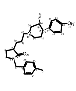 Cc1ccc(CN2CCC(CCCN3CC[C@@H](c4ccc(O)cc4)[C@H](F)C3)C2=O)cc1